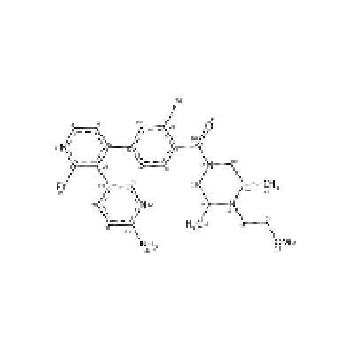 CCc1nccc(-c2ccc(C(=O)N3CC(C)N(CCOC)C(C)C3)c(F)c2)c1-c1ccc(N)nc1